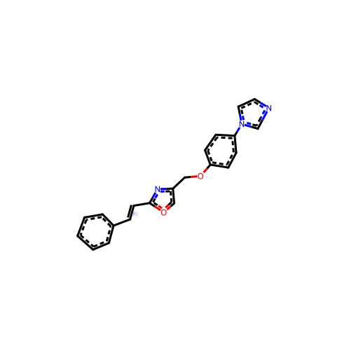 C(=C\c1nc(COc2ccc(-n3ccnc3)cc2)co1)/c1ccccc1